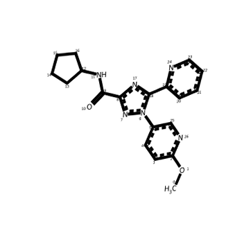 COc1ccc(-n2nc(C(=O)NC3CCCC3)nc2-c2ccccn2)cn1